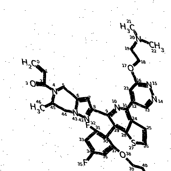 C=CC(=O)N1Cc2cc(-c3nc(-c4cnnc(OCCN(C)C)c4)c4ccsc4c3-c3c(F)cc(F)cc3OCCOC)nn2CC1C